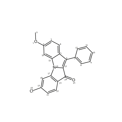 COc1ccc2c(-c3ccccc3)c3n(c2c1)-c1cc(Cl)ccc1C3=O